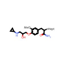 CCCCCCCC(Cc1ccc(OCC(O)CNC2CC2)c(OC)c1)C(N)=O